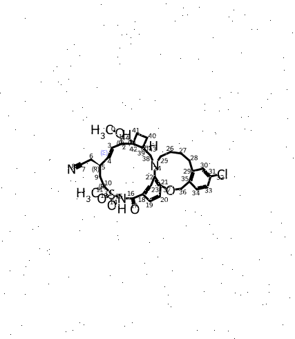 CO[C@H]1/C=C/[C@H](CC#N)C[C@@H](C)S(=O)(=O)NC(=O)c2ccc3c(c2)N(CCCCc2cc(Cl)ccc2CO3)C[C@@H]2CC[C@H]21